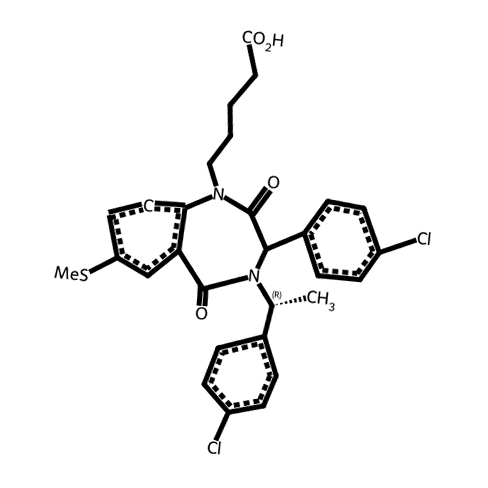 CSc1ccc2c(c1)C(=O)N([C@H](C)c1ccc(Cl)cc1)C(c1ccc(Cl)cc1)C(=O)N2CCCCC(=O)O